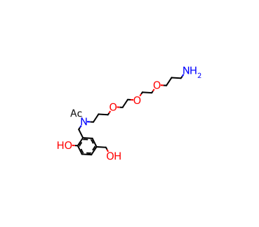 CC(=O)N(CCCOCCOCCOCCCN)Cc1cc(CO)ccc1O